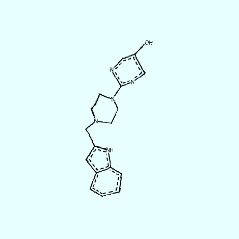 Oc1cnc(N2CCN(Cc3cc4ccccc4[nH]3)CC2)nc1